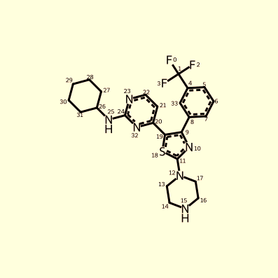 FC(F)(F)c1cccc(-c2nc(N3CCNCC3)sc2-c2ccnc(NC3CCCCC3)n2)c1